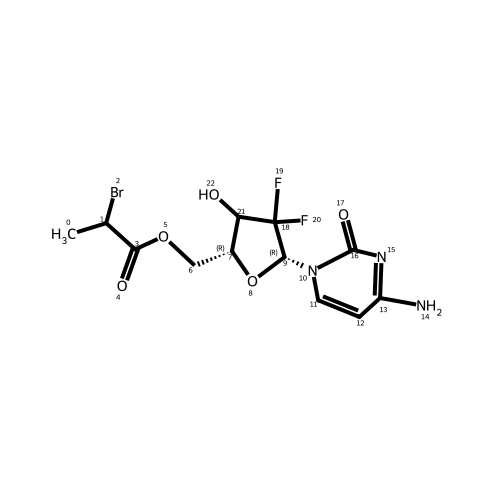 CC(Br)C(=O)OC[C@H]1O[C@@H](n2ccc(N)nc2=O)C(F)(F)C1O